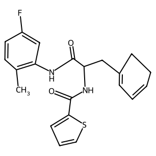 Cc1ccc(F)cc1NC(=O)C(CC1=CC=CCC1)NC(=O)c1cccs1